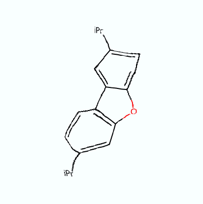 CC(C)c1ccc2c(c1)oc1ccc(C(C)C)cc12